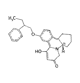 CCC(COc1ccc2c(c1)=C1C(O)=CC(=O)CN1[C@H]1CCCCC=21)c1ccccc1